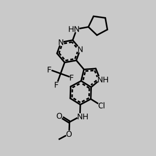 COC(=O)Nc1ccc2c(-c3nc(NC4CCCC4)ncc3C(F)(F)F)c[nH]c2c1Cl